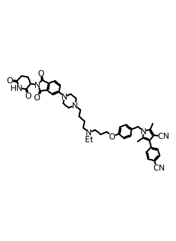 CCN(CCCCN1CCN(c2ccc3c(c2)C(=O)N(C2CCC(=O)NC2=O)C3=O)CC1)CCCOc1ccc(Cn2c(C)c(C#N)c(-c3ccc(C#N)cc3)c2C)cc1